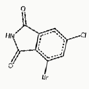 O=C1NC(=O)c2c(Br)cc(Cl)cc21